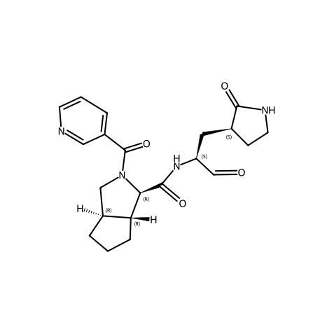 O=C[C@H](C[C@@H]1CCNC1=O)NC(=O)[C@H]1[C@@H]2CCC[C@H]2CN1C(=O)c1cccnc1